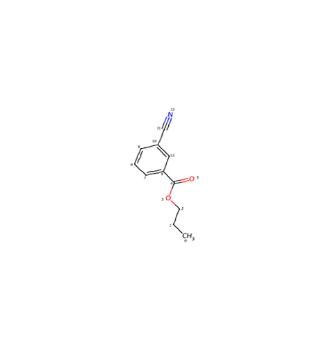 CCCOC(=O)c1cccc(C#N)c1